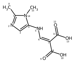 Cc1ncc(NC=C(C(=O)O)C(=O)O)n1C